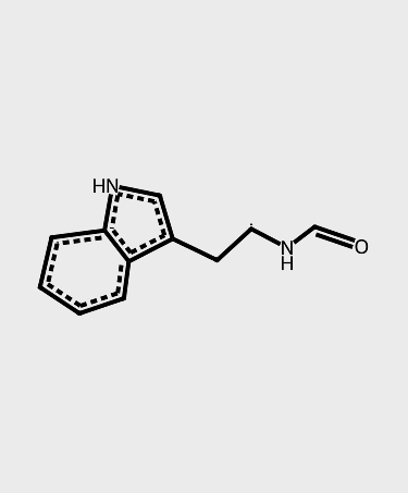 O=CN[CH]Cc1c[nH]c2ccccc12